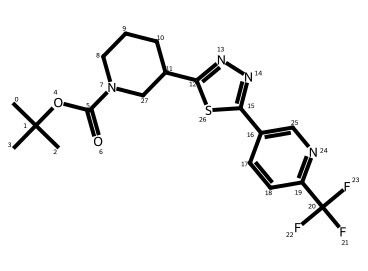 CC(C)(C)OC(=O)N1CCCC(c2nnc(-c3ccc(C(F)(F)F)nc3)s2)C1